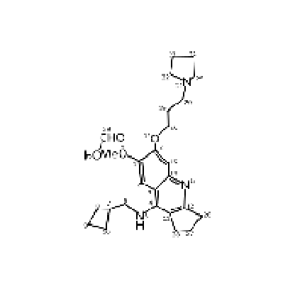 COc1cc2c(NCC3CCC3)c3c(nc2cc1OCCCN1CCCC1)CCC3.O=CO